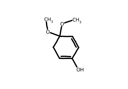 COC1(OC)C=CC(O)=CC1